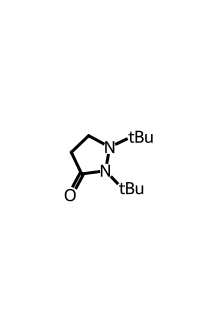 CC(C)(C)N1CCC(=O)N1C(C)(C)C